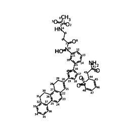 CS(=O)(=O)NCCC(=O)N(O)c1cccc(-c2ccc(C3=Cc4ccc5c(c4CC3)CCc3ccccc3-5)s2)c1.NC(=O)CC1C=CC=CS1(=O)=O